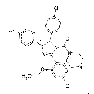 CCOc1cc(Cl)ccc1C1=NC(c2ccc(Cl)cc2)C(c2ccc(Cl)cc2)N1C(=O)N1CCNCC1